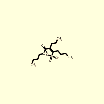 CCCCOC(=O)C(CCC)=C(CCCC)P(=O)(O)O